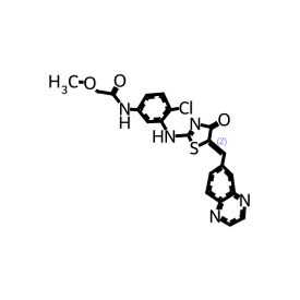 COCC(=O)Nc1ccc(Cl)c(NC2=NC(=O)/C(=C/c3ccc4nccnc4c3)S2)c1